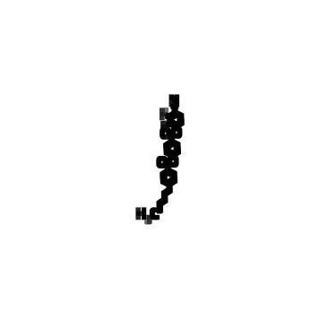 CCCCCCc1ccc(C(=O)Oc2ccc(C(=O)Oc3ccc(C#N)c(F)c3F)cc2)cc1